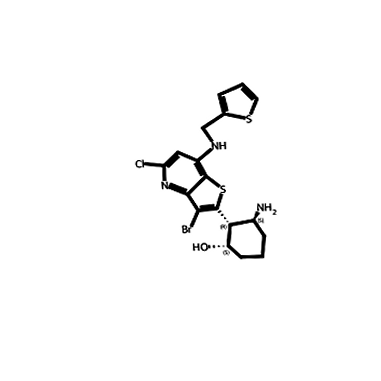 N[C@H]1CCC[C@H](O)[C@@H]1c1sc2c(NCc3cccs3)cc(Cl)nc2c1Br